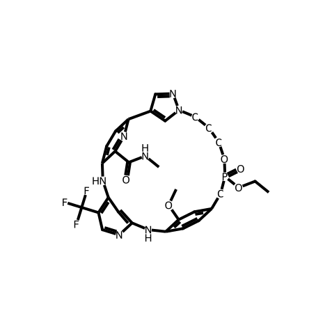 CCOP1(=O)Cc2ccc(c(OC)c2)Nc2cc(c(C(F)(F)F)cn2)Nc2ccc(nc2C(=O)NC)-c2cnn(c2)CCCO1